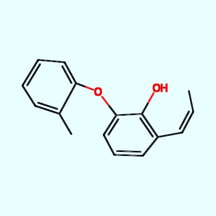 C/C=C\c1cccc(Oc2ccccc2C)c1O